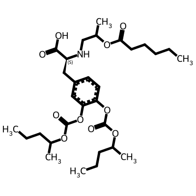 CCCCCC(=O)OC(C)CN[C@@H](Cc1ccc(OC(=O)OC(C)CCC)c(OC(=O)OC(C)CCC)c1)C(=O)O